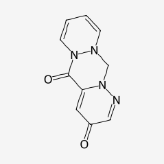 O=C1c2cc(=O)cnn2CN2C=CC=CN12